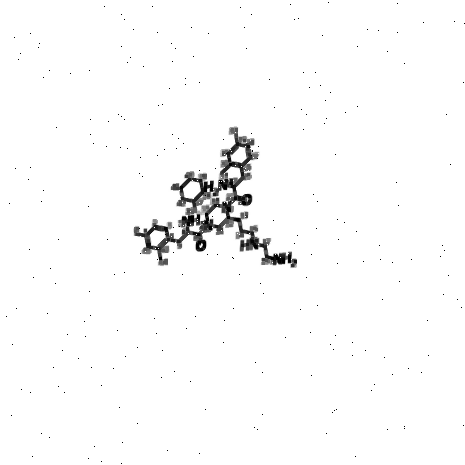 Cc1ccc(CC(N)C(=O)N2C[C@H](CCCNCCN)N(C(=O)C(N)Cc3ccc(C)cc3C)C[C@H]2CC2CCCCC2)c(C)c1